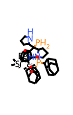 C[Si](C)(C)[C]12[CH]3[C]4(C(P)(C5CCCN5)C5CCCN5)[C]5(CP(C6C7CC8CC(C7)CC6C8)C6C7CC8CC(C7)CC6C8)[C]1([Si](C)(C)C)[Fe]35421678[CH]2[CH]1[CH]6[CH]7[CH]28